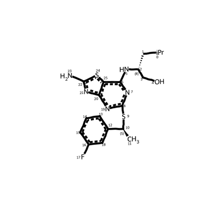 CC(C)C[C@H](CO)Nc1nc(S[C@@H](C)c2cccc(F)c2)nc2nc(N)sc12